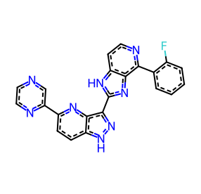 Fc1ccccc1-c1nccc2[nH]c(-c3n[nH]c4ccc(-c5cnccn5)nc34)nc12